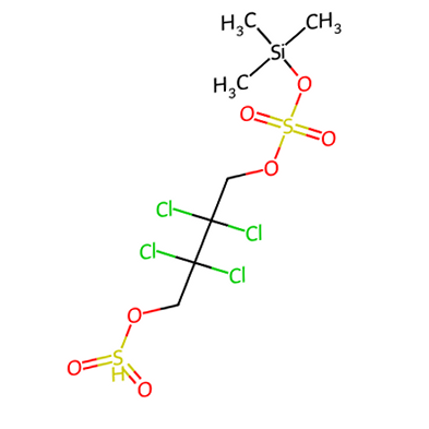 C[Si](C)(C)OS(=O)(=O)OCC(Cl)(Cl)C(Cl)(Cl)CO[SH](=O)=O